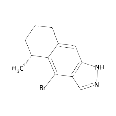 C[C@@H]1CCCc2cc3[nH]ncc3c(Br)c21